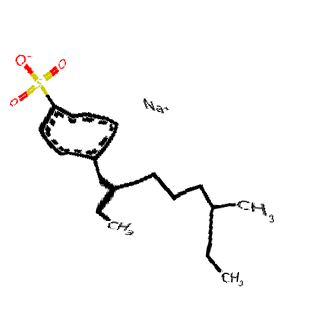 CCC(C)CCCC(CC)c1ccc(S(=O)(=O)[O-])cc1.[Na+]